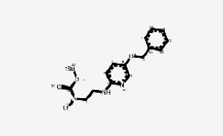 CCN(CCNc1ccc(OCc2ccccc2)cn1)C(=O)OC(C)(C)C